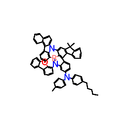 CCCCCc1ccc(N(c2ccc(C)cc2)c2ccc3c(c2)N(c2cccc4c2oc2ccccc24)B2c4c(cc5c(c4-3)-c3ccccc3C5(C)C)-n3c4ccc5ccccc5c4c4cccc2c43)cc1